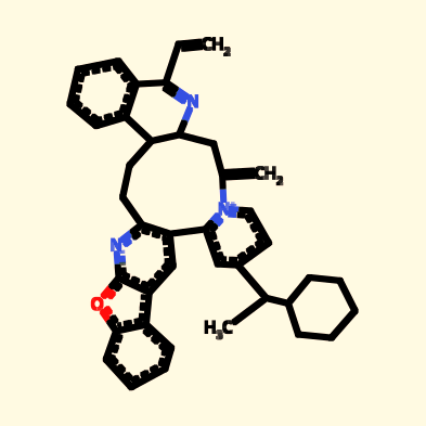 C=CC1=NC2CC(=C)[n+]3ccc(C(C)C4CCCCC4)cc3-c3cc4c(nc3CCC2c2ccccc21)oc1ccccc14